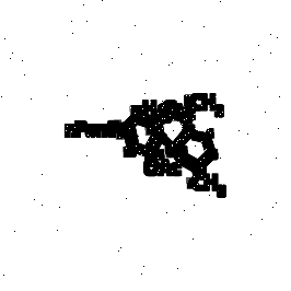 C=C(C)[C@@H]1CCC(C)=C[C@H]1c1c(OC(C)=O)cc(CCCCC)cc1OC(C)=O